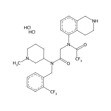 CN1CCCC(N(Cc2ccccc2C(F)(F)F)C(=O)CN(C(=O)C(F)(F)F)c2cccc3c2CCNC3)C1.Cl.Cl